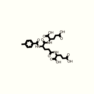 Cc1ccc(C(=O)NC(CCC(=O)NC(CCC(=O)O)C(=O)O)C(=O)NC(CCC(=O)O)C(=O)O)cc1